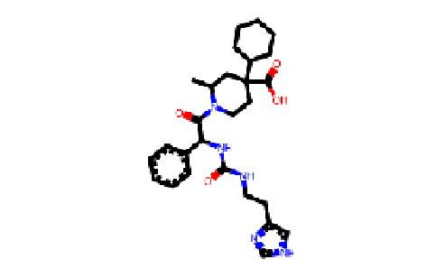 CC1CC(C(=O)O)(C2CCCCC2)CCN1C(=O)C(NC(=O)NCCc1c[nH]cn1)c1ccccc1